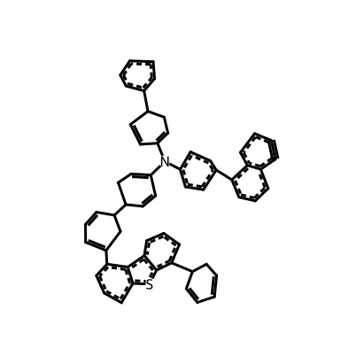 c1ccc2c(-c3ccc(N(C4=CCC(c5ccccc5)C=C4)C4=CCC(C5C=CC=C(c6cccc7sc8c(C9C=CC=CC9)cccc8c67)C5)C=C4)cc3)cccc2c#1